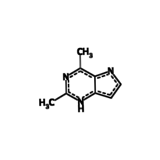 Cc1nc(C)c2nccc-2[nH]1